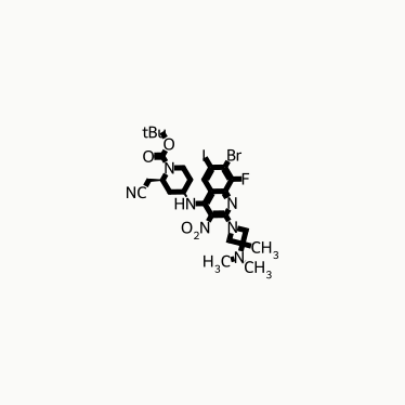 CN(C)C1(C)CN(c2nc3c(F)c(Br)c(I)cc3c(N[C@H]3CCN(C(=O)OC(C)(C)C)[C@H](CC#N)C3)c2[N+](=O)[O-])C1